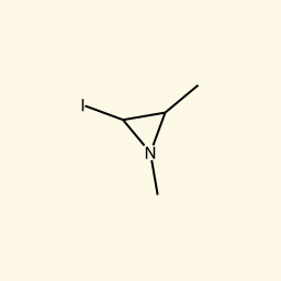 CC1C(I)N1C